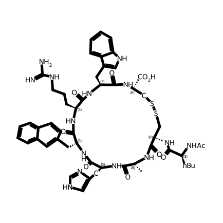 CCCC[C@H](NC(C)=O)C(=O)N[C@H]1CSSC[C@@H](C(=O)O)NC(=O)[C@H](Cc2c[nH]c3ccccc23)NC(=O)[C@H](CCCNC(=N)N)NC(=O)[C@@H](Cc2ccc3ccccc3c2)NC(=O)[C@H](Cc2c[nH]cn2)NC(=O)[C@@H](C)NC1=O